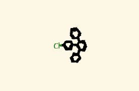 Clc1ccc(-c2c(-c3ccccc3)cccc2-c2ccccc2)cc1